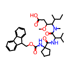 CCC(C)C(C(CC(=O)O)OC)N(C)C(=O)C(NC(=O)C1(NC(=O)OCC2c3ccccc3-c3ccccc32)CCCC1)C(C)C